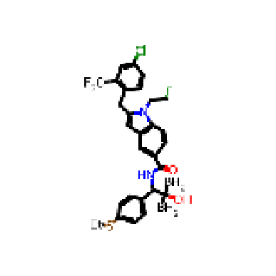 BC(B)(O)C(NC(=O)c1ccc2c(c1)cc(Cc1ccc(Cl)cc1C(F)(F)F)n2CCF)c1ccc(SCC)cc1